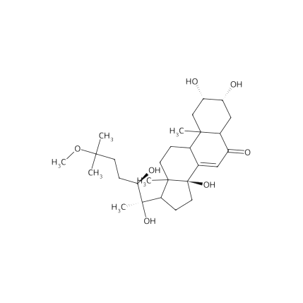 COC(C)(C)CC[C@@H](O)[C@](C)(O)C1CC[C@@]2(O)C3=CC(=O)C4C[C@@H](O)[C@@H](O)CC4(C)C3CCC12C